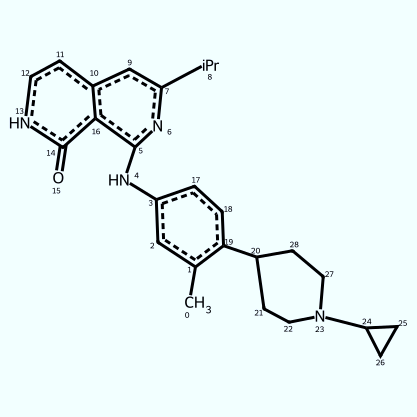 Cc1cc(Nc2nc(C(C)C)cc3cc[nH]c(=O)c23)ccc1C1CCN(C2CC2)CC1